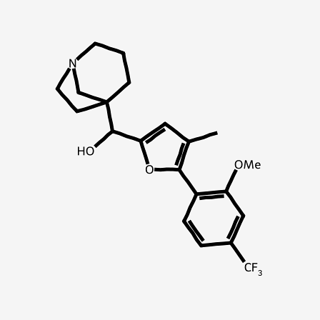 COc1cc(C(F)(F)F)ccc1-c1oc(C(O)C23CCCN(CC2)C3)cc1C